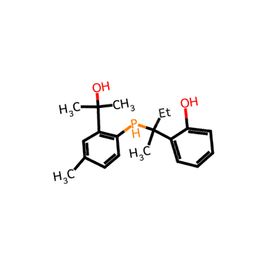 CCC(C)(Pc1ccc(C)cc1C(C)(C)O)c1ccccc1O